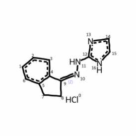 Cl.c1ccc2c(c1)CC/C2=N/Nc1ncc[nH]1